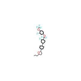 CCCC1CCC(c2ccc(-c3ccc(C(F)(F)Oc4ccc(OC(F)(F)F)c(F)c4)c(F)c3)cc2)O1